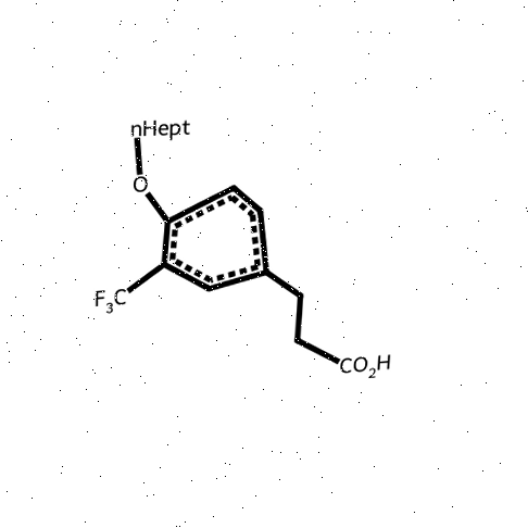 CCCCCCCOc1ccc(CCC(=O)O)cc1C(F)(F)F